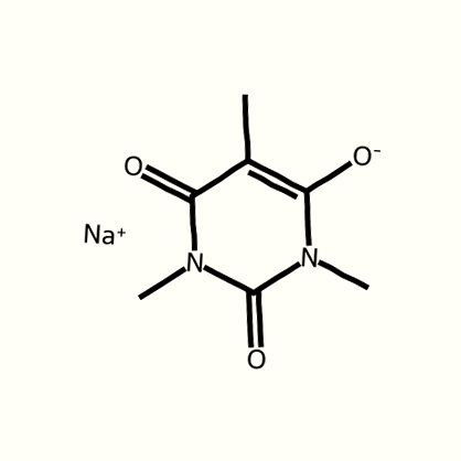 Cc1c([O-])n(C)c(=O)n(C)c1=O.[Na+]